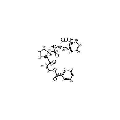 C[C@H](CSC(=O)c1ccccc1)C(=O)N1CCC[C@H]1C(=O)N[C@@H](Cc1ccccc1)C(=O)O